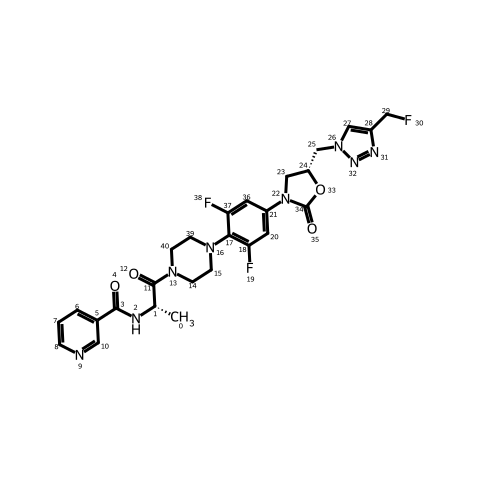 C[C@H](NC(=O)c1cccnc1)C(=O)N1CCN(c2c(F)cc(N3C[C@H](Cn4cc(CF)nn4)OC3=O)cc2F)CC1